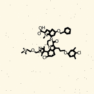 Cc1cc(OCCCc2c3n(c4c(-c5c(C)nn(COCC[Si](C)(C)C)c5C)c(Cl)ccc24)[C@H](C)CN(c2cc(OCc4ccccc4)cc4cc(C(=O)O)n(C)c24)C3=O)cc(C)c1Cl